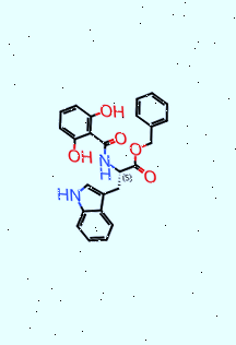 O=C(N[C@@H](Cc1c[nH]c2ccccc12)C(=O)OCc1ccccc1)c1c(O)cccc1O